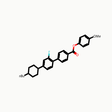 CCCCC1CCC(c2ccc(-c3ccc(C(=O)Oc4ccc(OC)cc4)cc3)c(F)c2)CC1